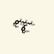 O=C(O)CCNC(=O)C(CNC(=O)c1ccc2c(c1)B(O)OC2)NC(=O)c1ccc2c(c1)B(O)OC2